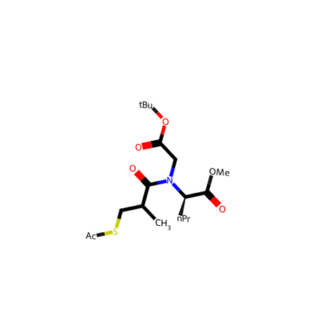 CCC[C@H](C(=O)OC)N(CC(=O)OC(C)(C)C)C(=O)C(C)CSC(C)=O